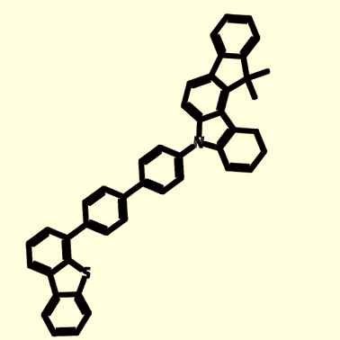 CC1(C)c2ccccc2-c2ccc3c(c4c(n3-c3ccc(-c5ccc(-c6cccc7c6sc6ccccc67)cc5)cc3)C=CCC4)c21